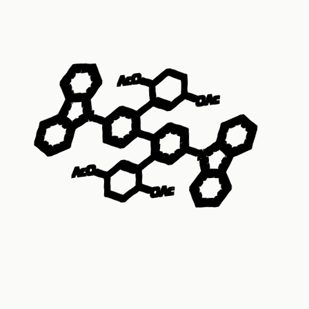 CC(=O)OC1C=C(c2cc(-n3c4ccccc4c4ccccc43)ccc2-c2ccc(-n3c4ccccc4c4ccccc43)cc2C2=CC(OC(C)=O)CCC2OC(C)=O)C(OC(C)=O)CC1